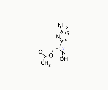 CC(=O)OC/C(=N\O)c1csc(N)n1